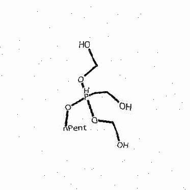 CCCCCO[PH](CO)(OCO)OCO